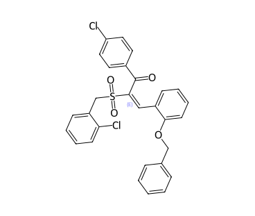 O=C(/C(=C\c1ccccc1OCc1ccccc1)S(=O)(=O)Cc1ccccc1Cl)c1ccc(Cl)cc1